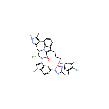 Cc1noc(-c2ccc3c(c2)c(N2C(=O)c4c(CCCOc5cc(C)c(Cl)c(C)c5)c5cccc(-c6c(C)nn(C)c6C)c5n4C(C)[C@H]2Cl)cn3C)n1